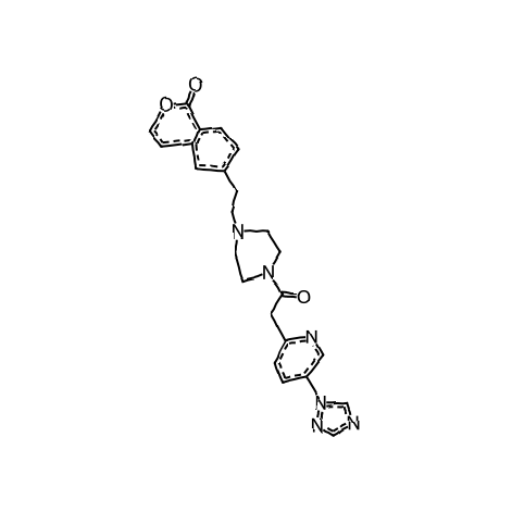 O=C(Cc1ccc(-n2cncn2)cn1)N1CCN(CCc2ccc3c(=O)occc3c2)CC1